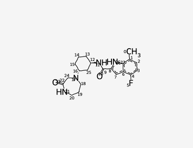 Cc1ccc(F)c2cc(C(=O)N[C@@H]3CCC[C@@H](N4CCCNC(=O)C4)C3)[nH]c12